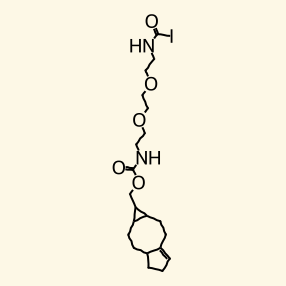 O=C(I)NCCOCCOCCNC(=O)OCC1C2CCC3=CCCC3CCC21